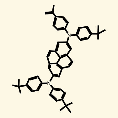 C=C(C)c1ccc(N(c2ccc(C(C)(C)C)cc2)c2cc3ccc4cc(N(c5ccc(C(C)(C)C)cc5)c5ccc(C(C)(C)C)cc5)cc5ccc(c2)c3c45)cc1